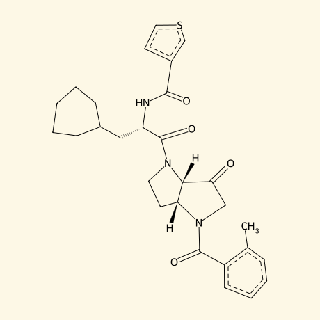 Cc1ccccc1C(=O)N1CC(=O)[C@@H]2[C@H]1CCN2C(=O)[C@H](CC1CCCCC1)NC(=O)c1ccsc1